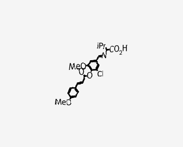 COc1ccc(/C=C/C(=O)Oc2c(Cl)cc(/C=N/C(C(=O)O)C(C)C)cc2OC)cc1